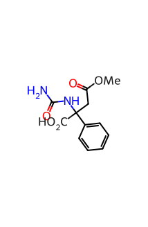 COC(=O)CC(NC(N)=O)(C(=O)O)c1ccccc1